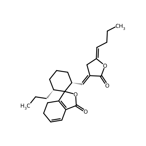 CCC/C=C1/C/C(=C\[C@H]2CCC[C@@H](CCC)C23OC(=O)C2=C3CCC=C2)C(=O)O1